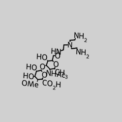 CO[C@@H]1C(C(=O)O)O[C@@H](O[C@@H]2C(NC(C)=O)[C@H](C)OC(CONCCN(CCN)CCN)[C@H]2O)C(O)[C@H]1O